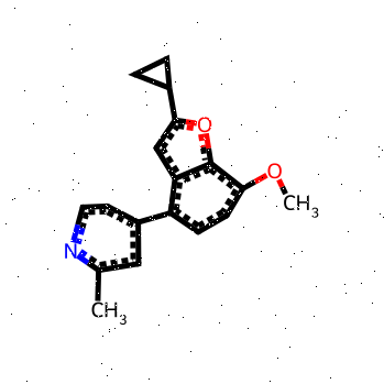 COc1ccc(-c2ccnc(C)c2)c2cc(C3CC3)oc12